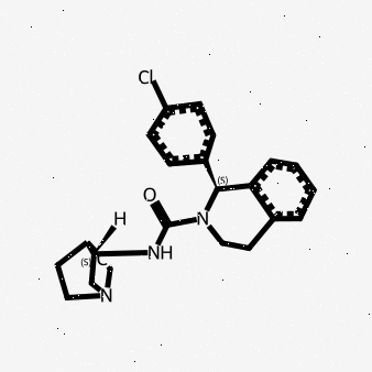 O=C(N[C@@H]1CN2CCC1CC2)N1CCc2ccccc2[C@@H]1c1ccc(Cl)cc1